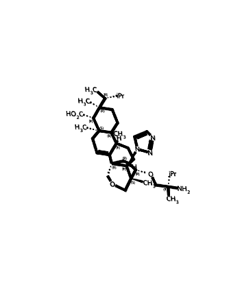 CC(C)[C@@H](C)[C@@]1(C)CC[C@]2(C)[C@H]3CC[C@@H]4[C@@]5(COC[C@@]4(C)[C@@H](OC[C@](C)(N)C(C)C)[C@H](n4ccnn4)C5)C3=CC[C@@]2(C)[C@@H]1C(=O)O